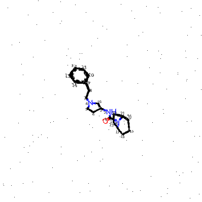 O=C(NC1CCN(CCc2ccccc2)C1)N1C2CCCC1CC2